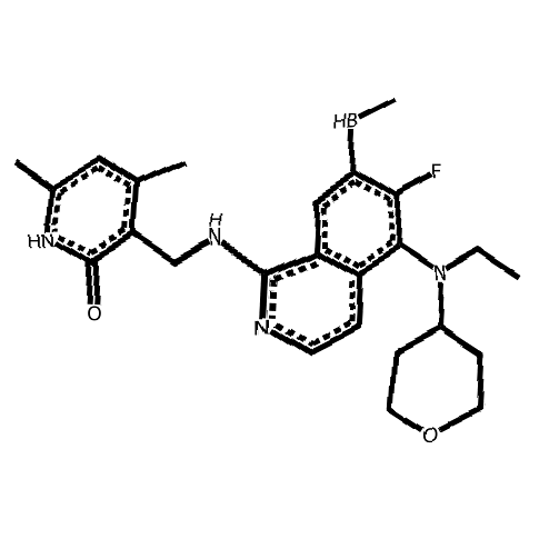 CBc1cc2c(NCc3c(C)cc(C)[nH]c3=O)nccc2c(N(CC)C2CCOCC2)c1F